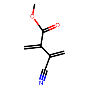 C=C(C#N)C(=C)C(=O)OC